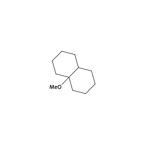 COC12CCCCC1CCCC2